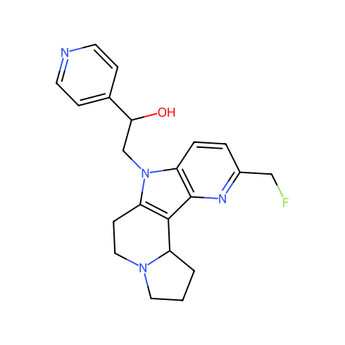 OC(Cn1c2c(c3nc(CF)ccc31)C1CCCN1CC2)c1ccncc1